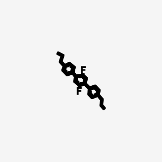 CCCc1ccc(-c2cc(F)c(-c3ccc(CCC)cc3)cc2F)cc1